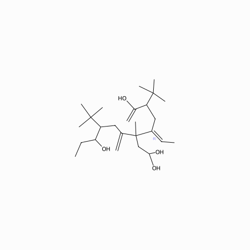 C=C(O)C(C/C(=C\C)C(C)(CC(O)O)C(=C)CC(C(O)CC)C(C)(C)C)C(C)(C)C